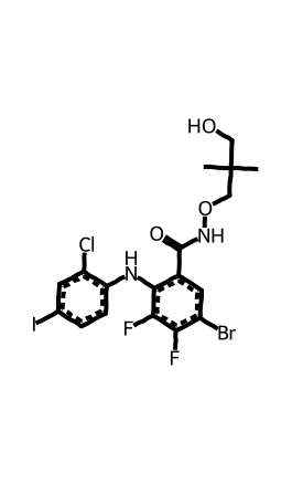 CC(C)(CO)CONC(=O)c1cc(Br)c(F)c(F)c1Nc1ccc(I)cc1Cl